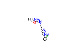 CNC(=O)c1cn(CCCCc2cc3cc(-c4ccccc4F)[nH]c3nn2)nn1